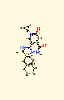 CC(Nc1nn(C)c(=O)c2cc(=O)n(C3CC3)cc12)c1ccc2c(c1)CCCC2